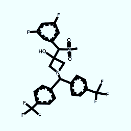 CS(=O)(=O)C(c1cc(F)cc(F)c1)C1(O)CN(C(c2ccc(C(F)(F)F)cc2)c2ccc(C(F)(F)F)cc2)C1